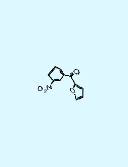 O=C(c1cccc([N+](=O)[O-])c1)c1ccco1